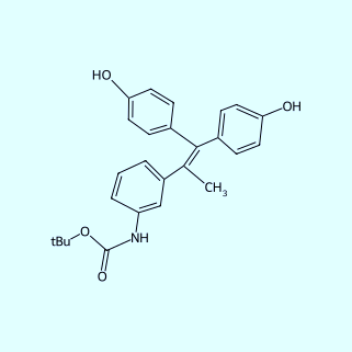 CC(=C(c1ccc(O)cc1)c1ccc(O)cc1)c1cccc(NC(=O)OC(C)(C)C)c1